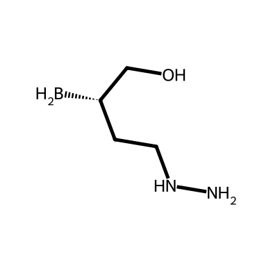 B[C@H](CO)CCNN